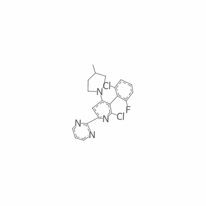 CC1CCN(c2cc(-c3ncccn3)nc(Cl)c2-c2c(F)cccc2Cl)CC1